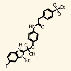 CCn1c(C(C)(C)Oc2ccc(NC(=O)Cc3ccc(S(=O)(=O)CC)cc3)cc2)nc2ccc(F)cc21